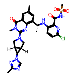 Cc1cc([C@@H](C)Nc2ccc(Cl)nc2C(=O)NS(C)(=O)=O)c2nc(N3C[C@@H]4C(n5cnc(C)n5)[C@@H]4C3)n(C)c(=O)c2c1